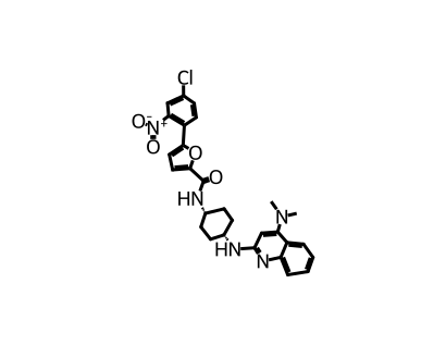 CN(C)c1cc(N[C@H]2CC[C@@H](NC(=O)c3ccc(-c4ccc(Cl)cc4[N+](=O)[O-])o3)CC2)nc2ccccc12